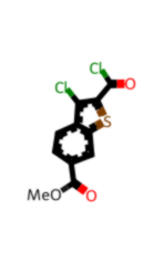 COC(=O)c1ccc2c(Cl)c(C(=O)Cl)sc2c1